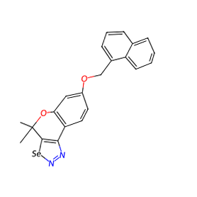 CC1(C)Oc2cc(OCc3cccc4ccccc34)ccc2-c2nn[se]c21